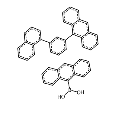 OB(O)c1c2ccccc2cc2ccccc12.c1cc(-c2cccc3ccccc23)cc(-c2c3ccccc3cc3ccccc23)c1